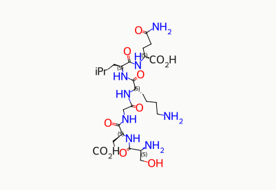 CC(C)C[C@H](NC(=O)[C@H](CCCCN)NC(=O)CNC(=O)[C@H](CC(=O)O)NC(=O)[C@@H](N)CO)C(=O)N[C@@H](CCC(N)=O)C(=O)O